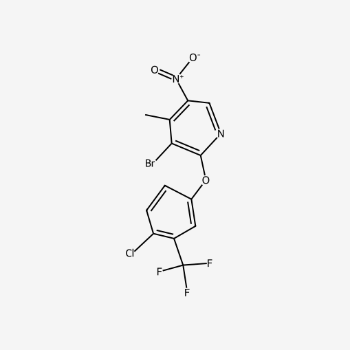 Cc1c([N+](=O)[O-])cnc(Oc2ccc(Cl)c(C(F)(F)F)c2)c1Br